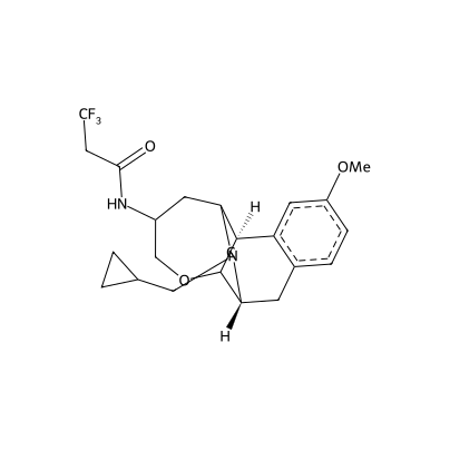 COc1ccc2c(c1)[C@@H]1C3CC(NC(=O)CC(F)(F)F)COC1[C@@H](C2)N(CC1CC1)C3